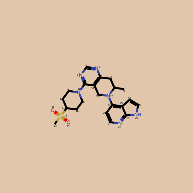 CC1Cc2ncnc(N3CCC(S(C)(=O)=O)CC3)c2CN1c1ccnc2[nH]ccc12